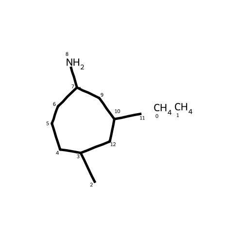 C.C.CC1CCC[C](N)CC(C)C1